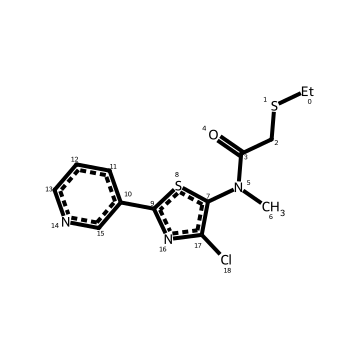 CCSCC(=O)N(C)c1sc(-c2cccnc2)nc1Cl